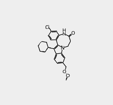 COOCc1ccc2c(C3CCCCC3)c3n(c2c1)CCC(=O)Nc1cc(Cl)ccc1-3